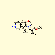 COC[C@@H](C)CN1CCOc2cc3c(c(C4CC4)c21)CCNCC3